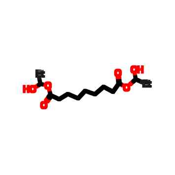 CCC(O)OC(=O)CCCCCCCC(=O)OC(O)CC